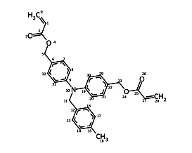 C=CC(=O)OCc1ccc(N(Cc2ccc(C)cc2)c2ccc(COC(=O)C=C)cc2)cc1